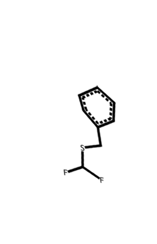 FC(F)SCc1cc[c]cc1